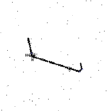 CCCCC/C=C\C/C=C\CCCCCCCC(=O)OCCCCCCCCCCCCCCCCCCCCCCCCCCCCCCCC(=O)NC(CO)C(O)/C=C/CCCCCCCCCCCCC